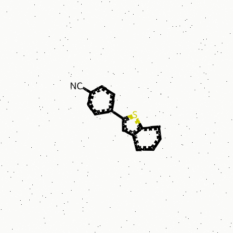 N#Cc1ccc(-c2cc3ccccc3s2)cc1